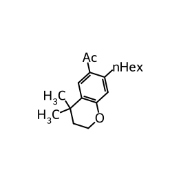 CCCCCCc1cc2c(cc1C(C)=O)C(C)(C)CCO2